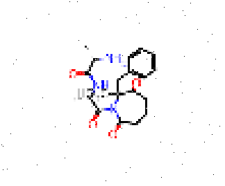 C[C@H](N)C(=O)N[C@@H](C)C(=O)N1C(=O)CCCC(=O)[C@]1(Cc1ccccc1)C(=O)O